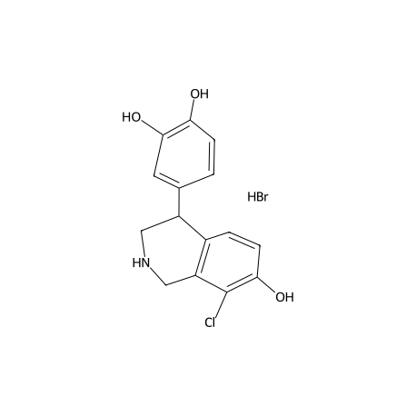 Br.Oc1ccc(C2CNCc3c2ccc(O)c3Cl)cc1O